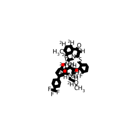 [2H]c1c(C)c([2H])c2c(c1[2H])c(=O)c([2H])c(SCc1cccc(F)c1F)n2CC(=O)N(Cc1ccc(-c2ccc(C(F)(F)F)cc2)cc1)C1([2H])C([2H])([2H])C([2H])([2H])N(CC([2H])([2H])OC)C([2H])([2H])C1([2H])[2H]